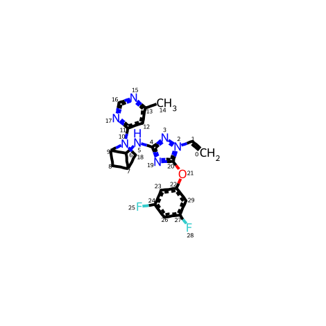 C=Cn1nc(NC2C3CC2N(c2cc(C)ncn2)C3)nc1Oc1cc(F)cc(F)c1